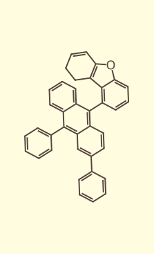 C1=Cc2oc3cccc(-c4c5ccccc5c(-c5ccccc5)c5cc(-c6ccccc6)ccc45)c3c2CC1